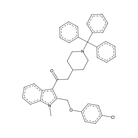 Cn1c(COc2ccc(Cl)cc2)c(C(=O)CC2CCN(C(c3ccccc3)(c3ccccc3)c3ccccc3)CC2)c2ccccc21